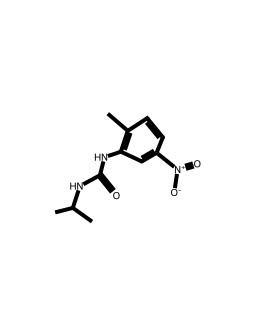 Cc1ccc([N+](=O)[O-])cc1NC(=O)NC(C)C